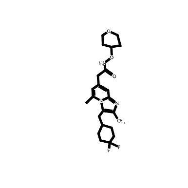 Cc1cc(CC(=O)NOC2CCOCC2)cc2nc(C(F)(F)F)c(CC3CCC(F)(F)CC3)n12